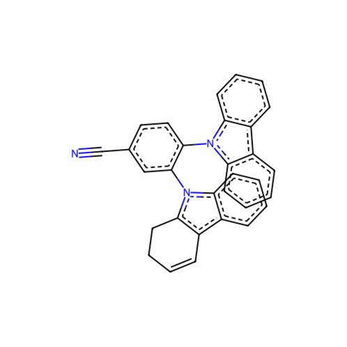 N#Cc1ccc(-n2c3ccccc3c3ccccc32)c(-n2c3c(c4ccccc42)C=CCC3)c1